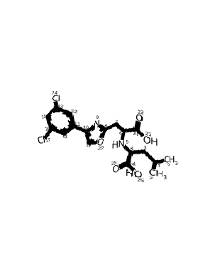 CC(C)CC(NC(Cc1nc(-c2cc(Cl)cc(Cl)c2)co1)C(=O)O)C(=O)O